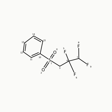 O=S(=O)(CC(F)(F)C(F)F)c1cc[c]cc1